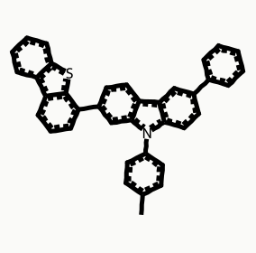 Cc1ccc(-n2c3ccc(-c4ccccc4)cc3c3ccc(-c4cccc5c4sc4ccccc45)cc32)cc1